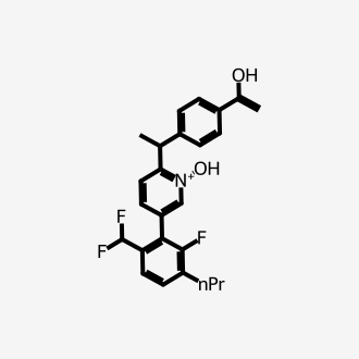 C=C(O)c1ccc(C(C)c2ccc(-c3c(C(F)F)ccc(CCC)c3F)c[n+]2O)cc1